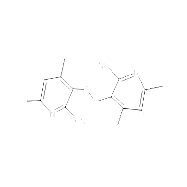 Cc1cc(C)c(SSc2c(C)cc(C)nc2C#N)c(C#N)n1